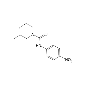 CC1CCCN(C(=O)Nc2ccc([N+](=O)[O-])cc2)C1